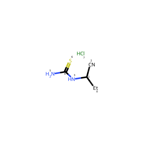 CCC(C#N)NC(N)=S.Cl